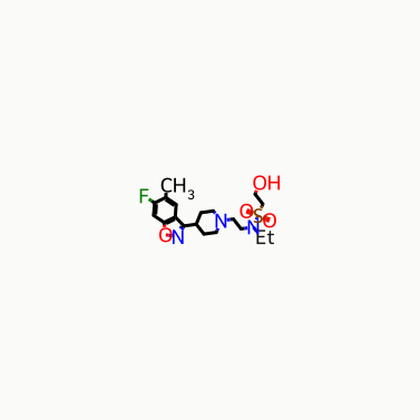 CCN(CCN1CCC(c2noc3cc(F)c(C)cc23)CC1)S(=O)(=O)CCO